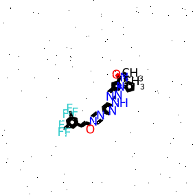 CN(C)C(=O)c1cc2cnc(Nc3ccc(N4CCN(C(=O)/C=C/c5cc(C(F)(F)F)cc(C(F)(F)F)c5)CC4)cn3)nc2n1C1CCCC1